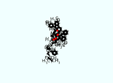 CCC(C)(C)C(=O)SCCOP(=O)(NCc1ccccc1)OC[C@H]1O[C@@H](c2cnc3c(NC(c4ccccc4)(c4ccc(OC)cc4)c4ccc(OC)cc4)nc(NC(c4ccccc4)(c4ccc(OC)cc4)c4ccc(OC)cc4)nn23)[C@](C)(O)[C@@H]1O